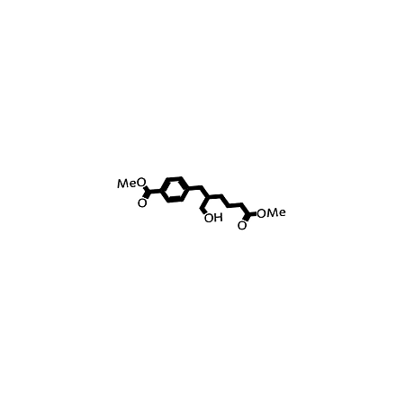 COC(=O)CCCC(CO)Cc1ccc(C(=O)OC)cc1